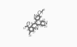 CCOc1ccc(-c2cc3c(C(C)=O)cc(C)cc3nc2-c2ccncc2)cn1